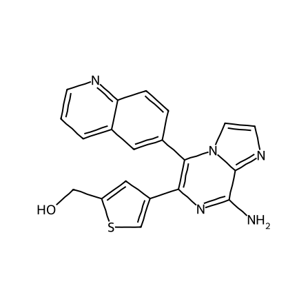 Nc1nc(-c2csc(CO)c2)c(-c2ccc3ncccc3c2)n2ccnc12